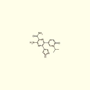 CC(C)n1cc(-c2nc(C(N)=O)c(N)nc2-c2cn[nH]c2)ccc1=O